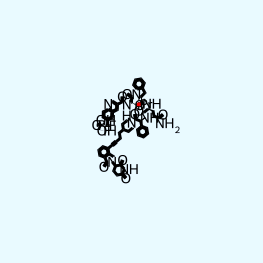 CC(C)C[C@H](NC(=O)c1cnc2ccc(C(F)(F)P(=O)(O)O)cc2c1)C(=O)N1c2ccccc2C[C@H]1C(=O)N[C@@H](CCC(N)=O)C(=O)N[C@H](C(=O)N1CCC(CCC#Cc2cccc3c2CN(C2CCC(=O)NC2=O)C3=O)CC1)c1ccccc1